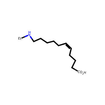 CCNCCCCC/C=C\CCCC(=O)O